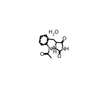 CC(=O)Nc1ccccc1CC1NC(=O)NC1=O.O